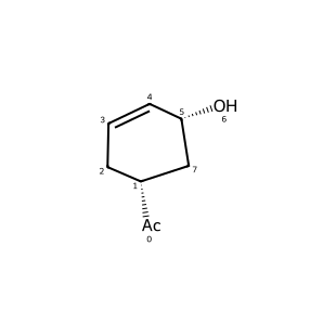 CC(=O)[C@@H]1CC=C[C@H](O)C1